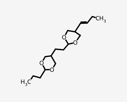 CC/C=C/C1COC(CCC2COC(CCC)OC2)OC1